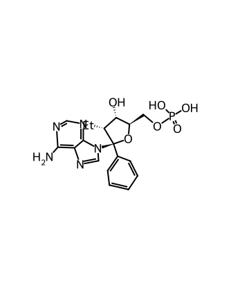 CC[C@@H]1[C@H](O)[C@@H](COP(=O)(O)O)O[C@@]1(c1ccccc1)n1cnc2c(N)ncnc21